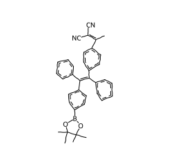 CC(=C(C#N)C#N)c1ccc(/C(=C(\c2ccccc2)c2ccc(B3OC(C)(C)C(C)(C)O3)cc2)c2ccccc2)cc1